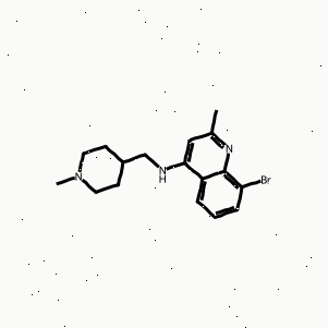 Cc1cc(NCC2CCN(C)CC2)c2cccc(Br)c2n1